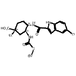 CC[C@@]1(C(=O)O)CC[C@H](NC(=O)c2cc3cc(Cl)ccc3[nH]2)[C@@H](NC(=O)OC(C)(C)C)C1